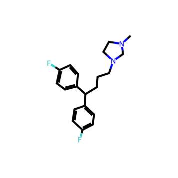 CN1CCN(CCCC(c2ccc(F)cc2)c2ccc(F)cc2)C1